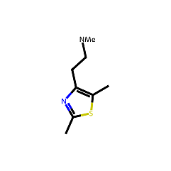 CNCCc1nc(C)sc1C